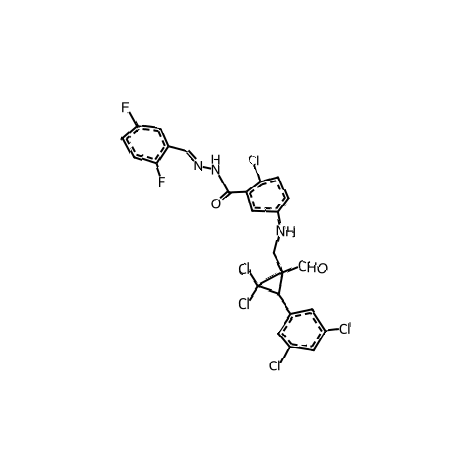 O=CC1(CNc2ccc(Cl)c(C(=O)N/N=C/c3cc(F)ccc3F)c2)C(c2cc(Cl)cc(Cl)c2)C1(Cl)Cl